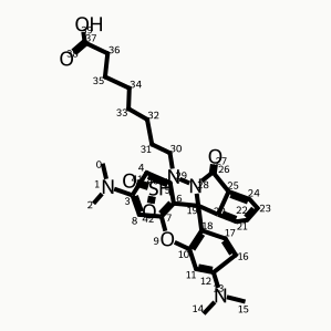 CN(C)c1ccc2c(c1)Oc1cc(N(C)C)ccc1C21c2ccccc2C(=O)N1N(CCCCCCCC(=O)O)[SH](=O)=O